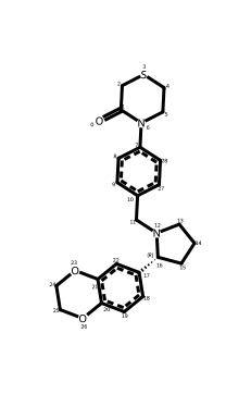 O=C1CSCCN1c1ccc(CN2CCC[C@@H]2c2ccc3c(c2)OCCO3)cc1